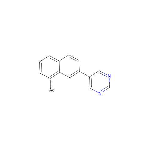 CC(=O)c1cccc2ccc(-c3cncnc3)cc12